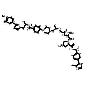 Cc1ncsc1-c1ccc([C@H](C)NC(=O)C2C[C@@H](O)CN2C(=O)[C@@H](NC(=O)COC(C)CN2CCN(c3ccc(C(=O)NC(C)Cn4ccc(-c5ccc(C#N)c(Cl)c5)n4)cc3)CC2)C(C)(C)C)cc1